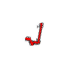 COc1cc2c(cc1OCCCOc1cc3c(cc1OC)C(=O)N1C=C(C)C[C@H]1[C@H](O)N3C(=O)OCc1ccc(NC(=O)[C@H](C)NC(=O)[C@@H](NC(=O)CCOCCOCCOCCOCCOCCOCCOCCOCCNC(=O)CCN3C(=O)CC(C)C3=O)C(C)C)cc1)N=C[C@@H]1CC(C)=CN1C2=O